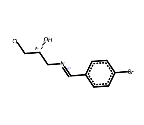 O[C@@H](CCl)C/N=C/c1ccc(Br)cc1